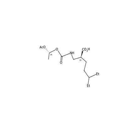 CCC(CC)CC[C@@H](CNC(=O)O[C@H](C)OC(C)=O)C(=O)O